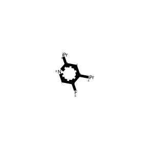 CC(C)c1cc(C(C)C)c(F)cn1